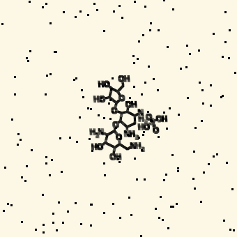 NCC1OC(OC2C(N)CC(N)C(O)C2OC2OC(CO)C(O)C2O)C(N)C(O)C1O.O=S(=O)(O)O